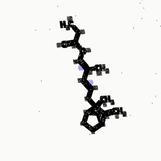 C=C1C2CCC(C2)C1(C)C/C=C/C(C)=C/OC(=O)CC